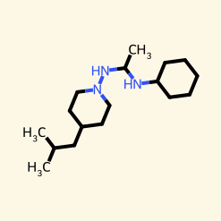 CC(C)CC1CCN(NC(C)NC2CCCCC2)CC1